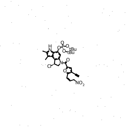 C#Cc1cc(C(=O)N2C[C@@H](Cl)c3c2cc(OP(=O)(OC(C)(C)C)OC(C)(C)C)c2[nH]c(C)c(C)c32)oc1/C=C\C[N+](=O)[O-]